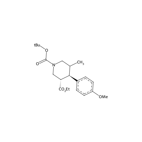 CCOC(=O)[C@@H]1CN(C(=O)OC(C)(C)C)CC(C)[C@H]1c1ccc(OC)cc1